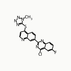 Cn1nnnc1Sc1ccnc2cc(-c3nc(Cl)c4cc(F)ccc4n3)ccc12